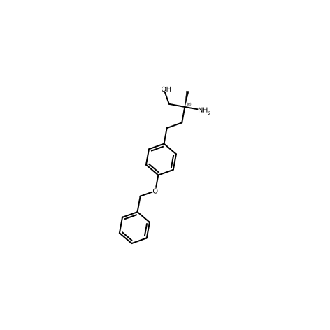 C[C@](N)(CO)CCc1ccc(OCc2ccccc2)cc1